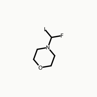 FC(I)N1CCOCC1